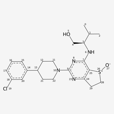 CC(C)[C@H](CO)Nc1nc(N2CCC(c3cccc(Cl)c3)CC2)nc2c1[S+]([O-])CC2